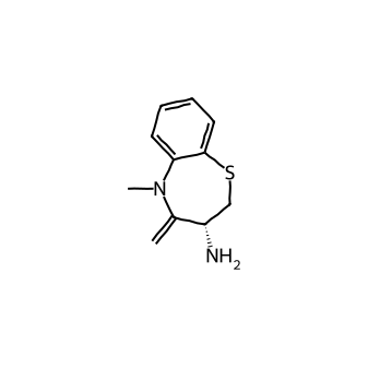 C=C1[C@@H](N)CSc2ccccc2N1C